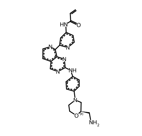 C=CC(=O)Nc1ccnc(-c2nccc3cnc(Nc4ccc(N5CCO[C@H](CN)C5)cc4)nc23)c1